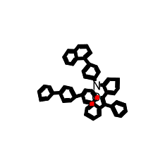 c1ccc(-c2ccc(-c3cccc(N(c4ccc(-c5cccc6ccccc56)cc4)c4ccccc4-c4oc5ccccc5c4-c4ccccc4)c3)cc2)cc1